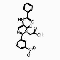 O=C(O)Cn1c(-c2cccc([N+](=O)[O-])c2)ncc(NC(=O)c2ccccc2)c1=O